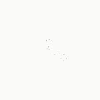 CCCCN1C(=Cc2sc3ccccc3[n+]2CCCC)Sc2ccccc21